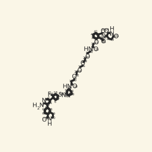 Nc1ncc(-c2ccc(SNc3cccc(NC(=O)CCOCCOCCOCCOCCNC(=O)COc4cccc5c4C(=O)N(C4CCC(=O)NC4=O)C5=O)c3)cc2F)cc1-c1ccc2c(c1)CCNC2=O